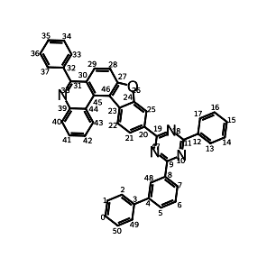 c1ccc(-c2cccc(-c3nc(-c4ccccc4)nc(-c4ccc5c(c4)oc4ccc6c(-c7ccccc7)nc7ccccc7c6c45)n3)c2)cc1